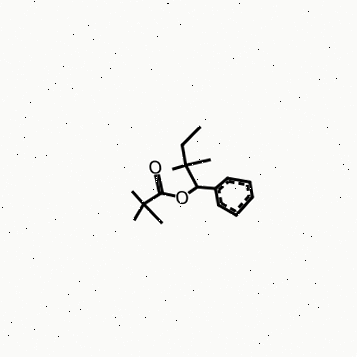 CCC(C)(C)C(OC(=O)C(C)(C)C)c1ccccc1